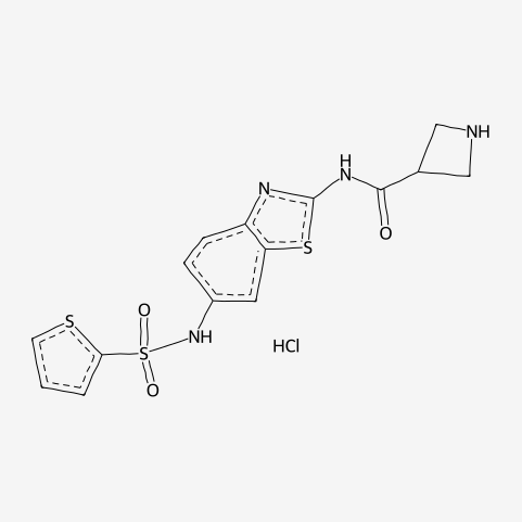 Cl.O=C(Nc1nc2ccc(NS(=O)(=O)c3cccs3)cc2s1)C1CNC1